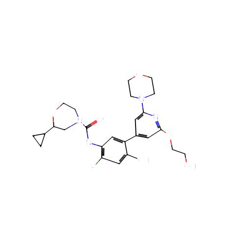 Cc1cc(F)c(NC(=O)N2CCOC(C3CC3)C2)cc1-c1cc(OCCO)nc(N2CCOCC2)c1